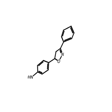 [NH]c1ccc(C2CC(c3ccccc3)=NO2)cc1